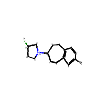 CCc1ccc2c(c1)CCC(N1CC[C@@H](F)C1)CC2